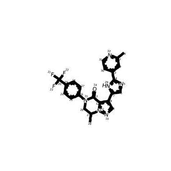 Cc1cc(-c2ncc(-c3cnn4c3C(=O)N(c3ccc(C(F)(F)F)cc3)CC4C)[nH]2)ccn1